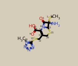 CSC1(N)C(=O)N2C(C(=O)O)=C(CSc3nnnn3C)CSC21